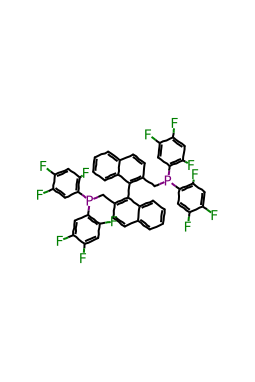 Fc1cc(F)c(P(Cc2ccc3ccccc3c2-c2c(CP(c3cc(F)c(F)cc3F)c3cc(F)c(F)cc3F)ccc3ccccc23)c2cc(F)c(F)cc2F)cc1F